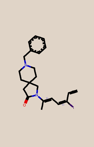 C=C/C(I)=C\C=C(/C)N1CC2(CCN(Cc3ccccc3)CC2)CC1=O